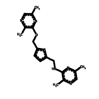 Cc1cnc(C)c(NCc2ccc(COc3nc(C)cnc3C)s2)n1